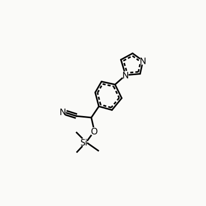 C[Si](C)(C)OC(C#N)c1ccc(-n2ccnc2)cc1